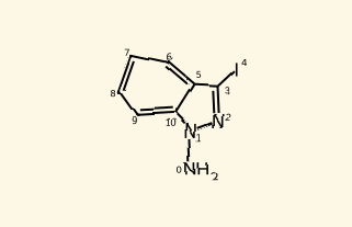 Nn1nc(I)c2ccccc21